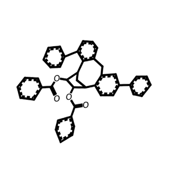 O=C(OC1C2CC(c3c(cccc3-c3ccccc3)Cc3cc(-c4ccccc4)ccc32)C1OC(=O)c1ccccc1)c1ccccc1